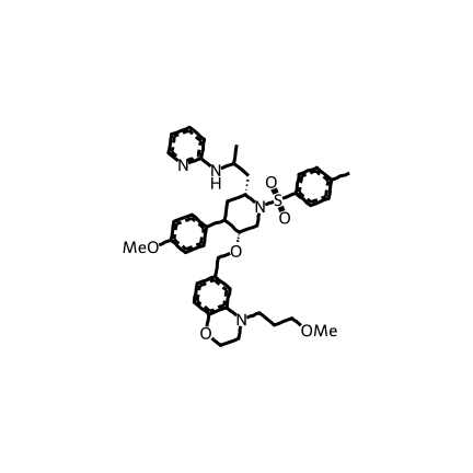 COCCCN1CCOc2ccc(CO[C@H]3CN(S(=O)(=O)c4ccc(C)cc4)[C@@H](CC(C)Nc4ccccn4)CC3c3ccc(OC)cc3)cc21